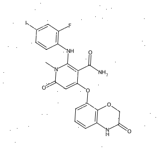 Cn1c(Nc2ccc(I)cc2F)c(C(N)=O)c(Oc2cccc3c2OCC(=O)N3)cc1=O